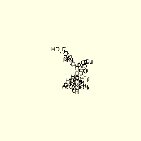 CC(=O)OCC12CO[C@H]1C[C@@H](O)[C@]1(C)C(=O)[C@@H](O)C3=C(C)[C@H](OC(=O)[C@@H](OC(=O)C4CC/C(=N\NS(=O)(=O)c5ccc(C(=O)O)cc5)C4)C(NC(=O)OC(C)(C)C)c4ccccc4)[C@H]4C[C@](O)([C@H](OC(=O)c5ccccc5)[C@@H]21)[C@]34C